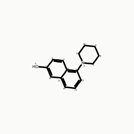 Oc1ccc2c(N3CCCCC3)cccc2c1